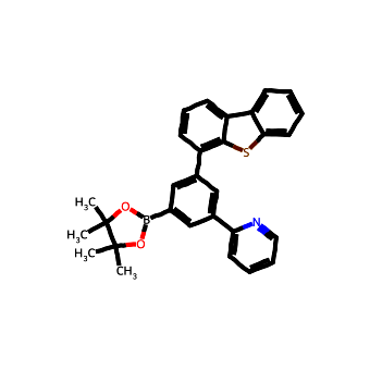 CC1(C)OB(c2cc(-c3ccccn3)cc(-c3cccc4c3sc3ccccc34)c2)OC1(C)C